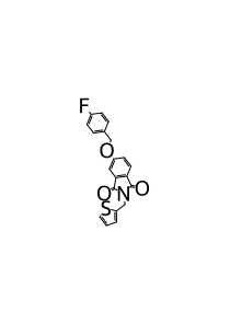 O=C1c2ccc(OCc3ccc(F)cc3)cc2C(=O)N1Cc1cccs1